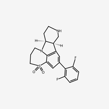 O=S1(=O)CCCN2c3c(cc(-c4c(F)cccc4F)cc31)[C@@H]1CNCC[C@@H]12